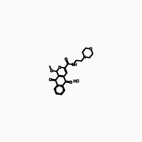 COC1OC(C(=O)NCCN2CCOCC2)=CC2=C1C(=O)c1ccccc1C2=O.Cl